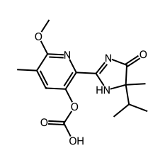 COc1nc(C2=NC(=O)C(C)(C(C)C)N2)c(OC(=O)O)cc1C